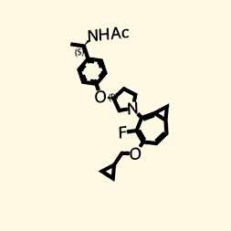 CC(=O)N[C@@H](C)c1ccc(O[C@@H]2CCN(C3=C4CC4C=CC(OCC4CC4)=C3F)C2)cc1